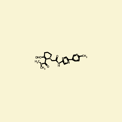 Cc1ccc(-c2cnc(NC(=O)CN3CCCC(C=O)=C3C(=O)N(C)C)cn2)cn1